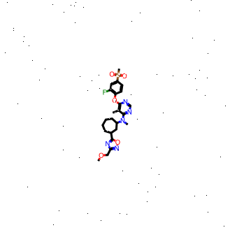 COCc1noc(C2CCCCC(N(C)c3ncnc(Oc4ccc(S(C)(=O)=O)cc4F)c3C)C2)n1